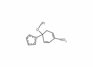 CC(C)OC1(n2cccc2)C=CC([N+](=O)[O-])=CC1